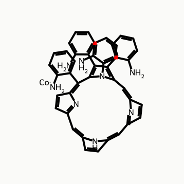 Nc1ccccc1-c1c(-c2ccccc2N)c2c(-c3ccccc3N)c3nc(cc4ccc(cc5nc(cc1n2-c1ccccc1N)C=C5)[nH]4)C=C3.[Co]